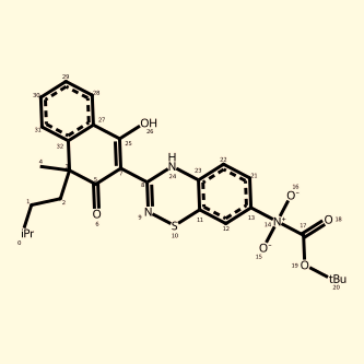 CC(C)CCC1(C)C(=O)C(C2=NSc3cc([N+]([O-])([O-])C(=O)OC(C)(C)C)ccc3N2)=C(O)c2ccccc21